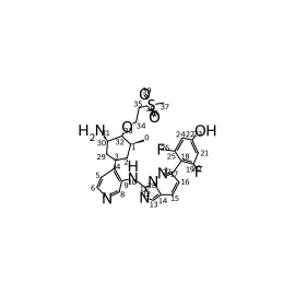 C[C@H]1C[C@@H](c2ccncc2Nc2ncc3ccc(-c4c(F)cc(O)cc4F)nn23)C[C@@H](N)[C@H]1OCCS(C)(=O)=O